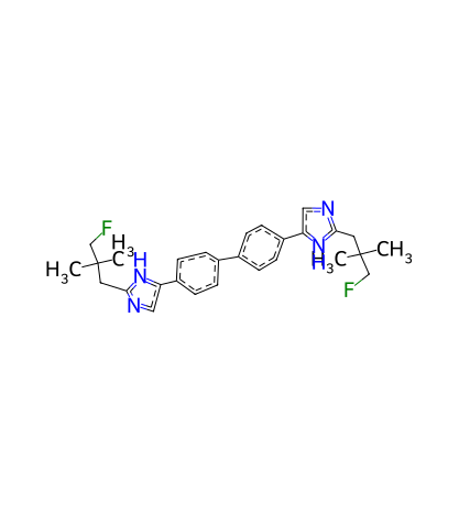 CC(C)(CF)Cc1ncc(-c2ccc(-c3ccc(-c4cnc(CC(C)(C)CF)[nH]4)cc3)cc2)[nH]1